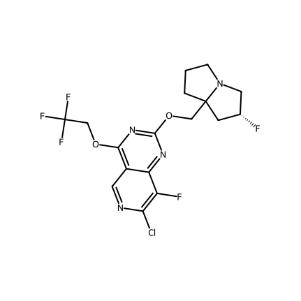 Fc1c(Cl)ncc2c(OCC(F)(F)F)nc(OCC34CCCN3C[C@H](F)C4)nc12